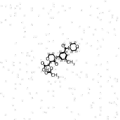 CC(=O)O[C@@H](C(=O)O)[C@H]1OCCN(c2cc(C)cc(C(=O)N3CCOCC3)c2)C1=O